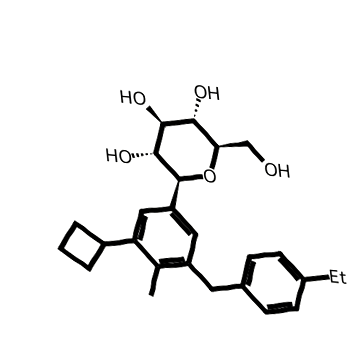 CCc1ccc(Cc2cc([C@@H]3O[C@H](CO)[C@@H](O)[C@H](O)[C@H]3O)cc(C3CCC3)c2C)cc1